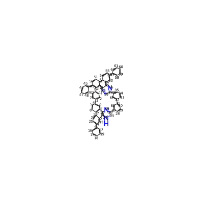 c1ccc(-c2ccc3c(c2)c2c(c4cc(-c5ccccc5)ccc43)NCC(c3cccc(-c4cccc(-c5cnc6c7cc(-c8ccccc8)ccc7c7ccc(-c8ccccc8)cc7c6n5)c4)c3)=N2)cc1